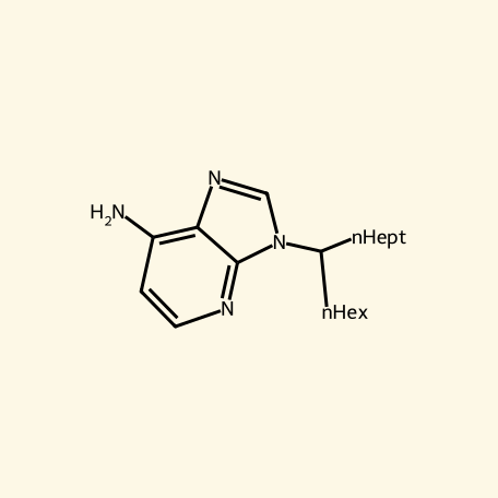 CCCCCCCC(CCCCCC)n1cnc2c(N)ccnc21